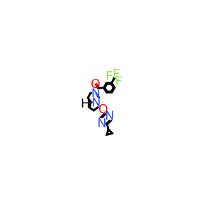 O=C(c1cccc(C(F)(F)F)c1)N1CC[C@H]2CC[C@@H](Oc3cnc(C4CC4)cn3)N2C1